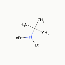 CCCN(CC)C(C)(C)C